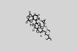 CC[C@H](CCC(C)C)[C@@H](OCC1CC1)[C@H](C)OC(=O)[C@H](C)NC(=O)c1nccc(OC)c1OC(C)=O